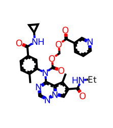 CCNC(=O)c1cn2ncnc(N(C(=O)OCOC(=O)c3cccnc3)c3cc(C(=O)NC4CC4)ccc3C)c2c1C